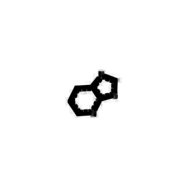 [c]1nc2cccnc2s1